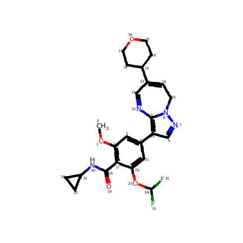 COc1cc(-c2cnn3c2N=CC(C2CCOCC2)=CC3)cc(OC(F)F)c1C(=O)NC1CC1